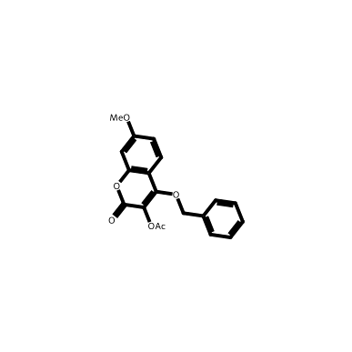 COc1ccc2c(OCc3ccccc3)c(OC(C)=O)c(=O)oc2c1